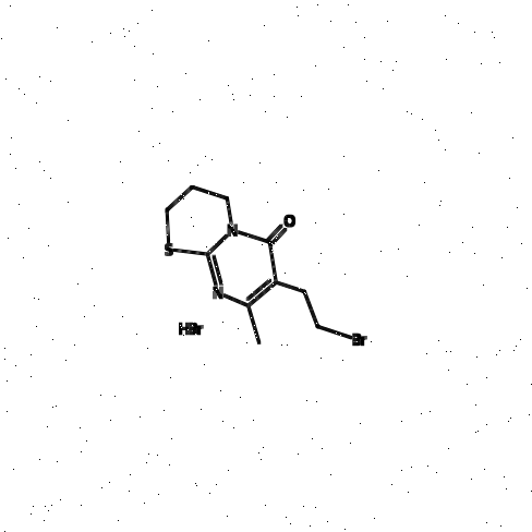 Br.Cc1nc2n(c(=O)c1CCBr)CCCS2